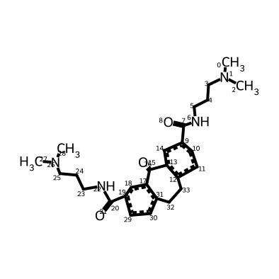 CN(C)CCCNC(=O)c1ccc2c(c1)C(=O)c1cc(C(=O)NCCCN(C)C)ccc1CC2